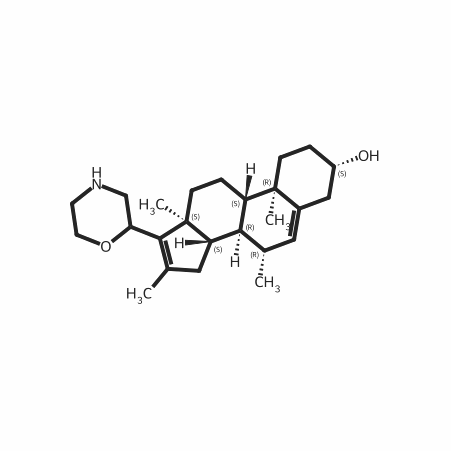 CC1=C(C2CNCCO2)[C@@]2(C)CC[C@H]3[C@@H]([C@@H](C)C=C4C[C@@H](O)CC[C@@]43C)[C@@H]2C1